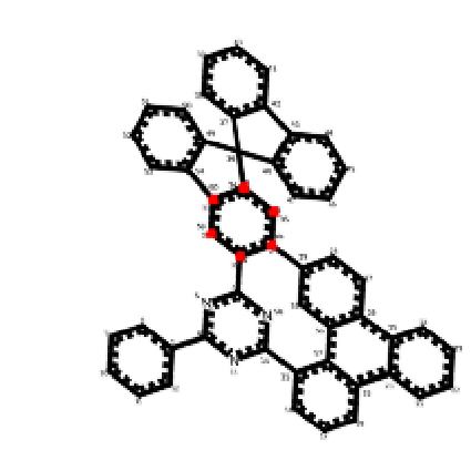 c1ccc(-c2nc(-c3ccccc3)nc(-c3cccc4c5ccccc5c5ccc(-c6ccc7c(c6)C6(c8ccccc8-c8ccccc86)c6ccccc6-7)cc5c34)n2)cc1